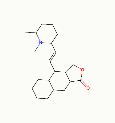 CC1CCCC(C=CC2C3CCCCC3CC3C(=O)OCC32)N1C